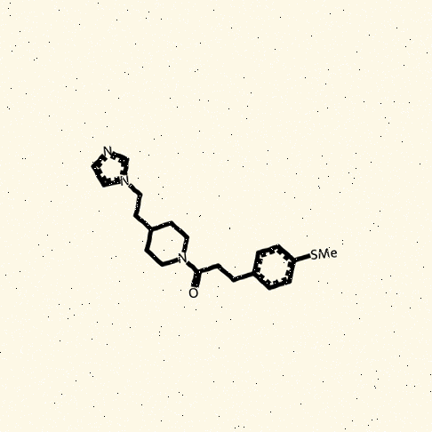 CSc1ccc(CCC(=O)N2CCC(CCn3ccnc3)CC2)cc1